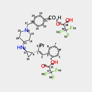 CC(C)/C(=C\c1ccccc1)[C@@H]1C[C@H]1NC1CCN(Cc2ccc(C(=O)O)cc2)CC1.O=C(O)C(F)(F)F.O=C(O)C(F)(F)F